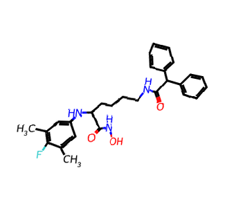 Cc1cc(NC(CCCCNC(=O)C(c2ccccc2)c2ccccc2)C(=O)NO)cc(C)c1F